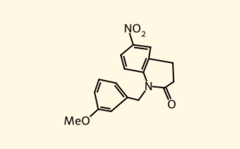 COc1cccc(CN2C(=O)CCc3cc([N+](=O)[O-])ccc32)c1